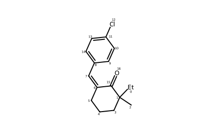 CCC1(C)CCCC(=Cc2ccc(Cl)cc2)C1=O